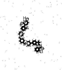 CC1(C)c2ccc(C3CCN(CC4CCC(CN5CCN(c6cc(F)c(C7CCC(=O)NC7=O)c(F)c6)CC5)CC4)CC3)cc2-n2c1nc(=O)c1c(Cl)cccc12